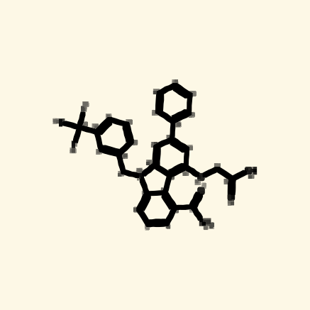 NC(=O)c1cccc2c1c1c(OCC(=O)O)cc(-c3ccccc3)cc1n2Cc1cccc(C(F)(F)F)c1